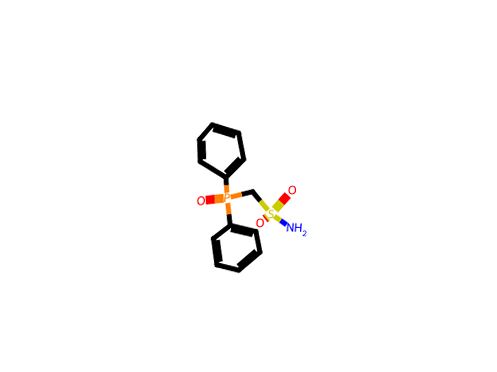 NS(=O)(=O)CP(=O)(c1ccccc1)c1ccccc1